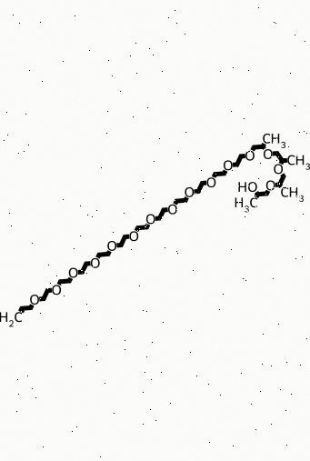 C=CCOCCOCCOCCOCCOCCOCCOCCOCCOCCOCCOCCOCC(C)OCC(C)OCC(C)OCC(C)O